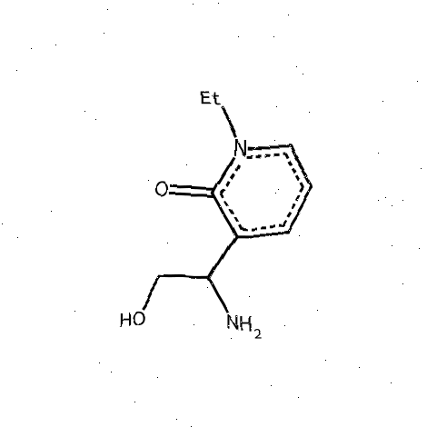 CCn1cccc(C(N)CO)c1=O